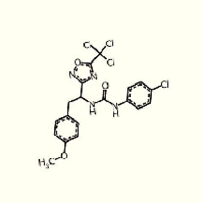 COc1ccc(CC(NC(=O)Nc2ccc(Cl)cc2)c2noc(C(Cl)(Cl)Cl)n2)cc1